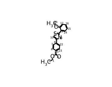 CCOC(=O)c1ccc(-c2csc(-c3ccccc3OC)n2)cc1